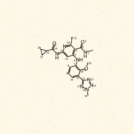 CNC(=O)c1c(Nc2cccc(-c3nnn(C)n3)c2OC)cc(NC(=O)C2CC2)nc1F